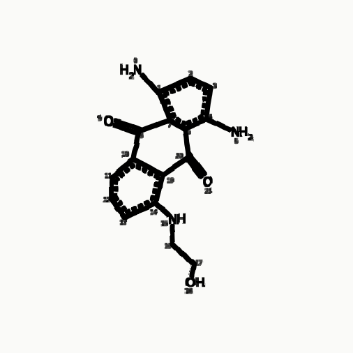 Nc1ccc(N)c2c1C(=O)c1cccc(NCCO)c1C2=O